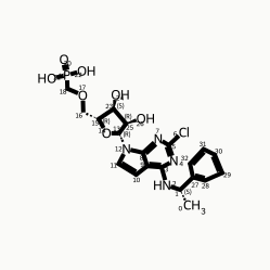 C[C@H](Nc1nc(Cl)nc2c1ccn2[C@@H]1O[C@H](COCP(=O)(O)O)[C@@H](O)[C@H]1O)c1ccccc1